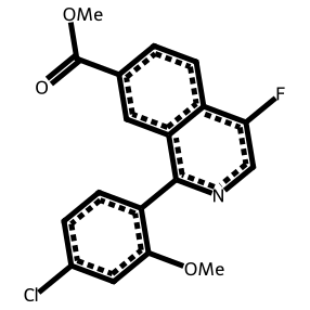 COC(=O)c1ccc2c(F)cnc(-c3ccc(Cl)cc3OC)c2c1